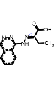 CC/C(=N\Nc1nncc2ccccc12)C(=O)O